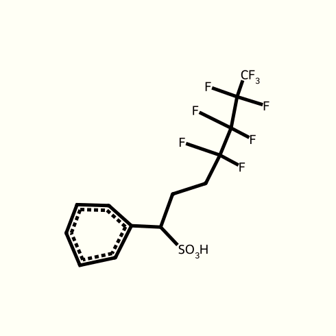 O=S(=O)(O)C(CCC(F)(F)C(F)(F)C(F)(F)C(F)(F)F)c1ccccc1